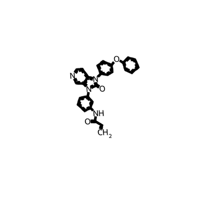 C=CC(=O)Nc1cccc(-n2c(=O)n(-c3ccc(Oc4ccccc4)cc3)c3ccncc32)c1